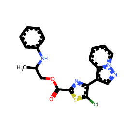 CC(COC(=O)c1nc(-c2cnn3ccccc23)c(Cl)s1)Nc1ccccc1